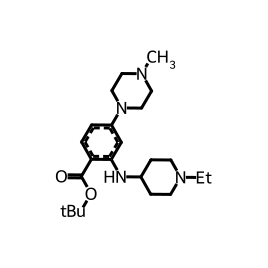 CCN1CCC(Nc2cc(N3CCN(C)CC3)ccc2C(=O)OC(C)(C)C)CC1